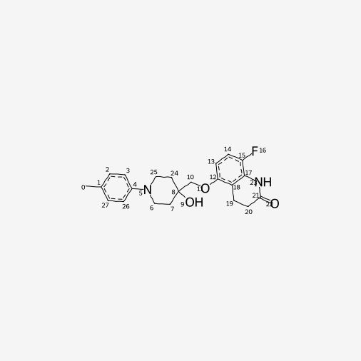 Cc1ccc(N2CCC(O)(COc3ccc(F)c4c3CCC(=O)N4)CC2)cc1